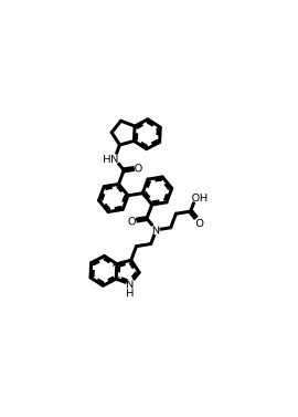 O=C(O)CCN(CCc1c[nH]c2ccccc12)C(=O)c1ccccc1-c1ccccc1C(=O)NC1CCc2ccccc21